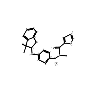 CN(C(=O)c1cnco1)[C@@H](c1ccc(NC2Cc3ccccc3C2(C)C)cc1)C(F)(F)F